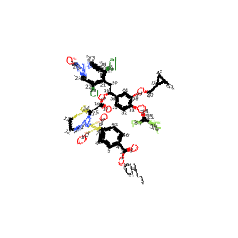 COC(=O)c1ccc(S(=O)(=O)N2CCS[C@H]2C(=O)O[C@@H](Cc2c(Cl)c[n+]([O-])cc2Cl)c2ccc(OC(F)F)c(OCC3CC3)c2)cc1